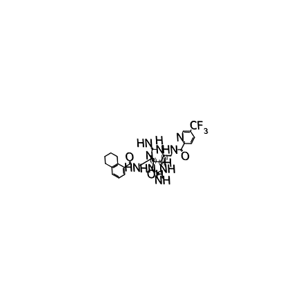 N=C1N[C@H]2[C@H](CNC(=O)c3ccc(C(F)(F)F)cn3)NC(=N)N3CC(NC(=O)c4cccc5c4CCCC5)[C@@H](O)C23N1